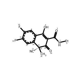 CCNC(=O)C1=C(O)c2cc(F)c(F)cc2[C@@](C)(C#N)C1=O